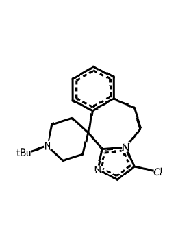 CC(C)(C)N1CCC2(CC1)c1ccccc1CCn1c(Cl)cnc12